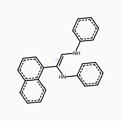 C(/Nc1ccccc1)=C(/Nc1ccccc1)c1cccc2ccccc12